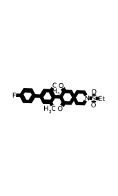 CCS(=O)(=O)N1CCC2(CC1)CC(=O)C(c1c(C)cc(-c3ccc(F)cc3)cc1C)C(=O)C2